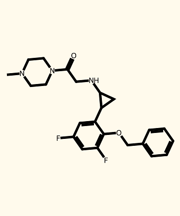 CN1CCN(C(=O)CNC2CC2c2cc(F)cc(F)c2OCc2ccccc2)CC1